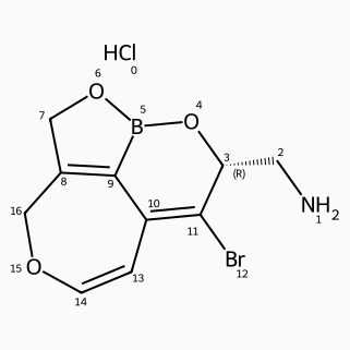 Cl.NC[C@H]1OB2OCC3=C2C(=C1Br)C=COC3